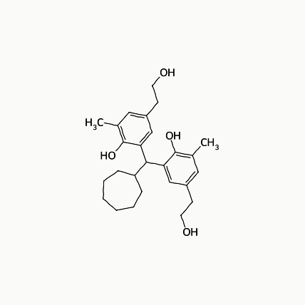 Cc1cc(CCO)cc(C(c2cc(CCO)cc(C)c2O)C2CCCCCC2)c1O